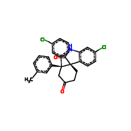 Cc1cccc([C@]2(c3cccc(Cl)c3)CC(=O)CC[C@]23C(=O)Nc2cc(Cl)ccc23)c1